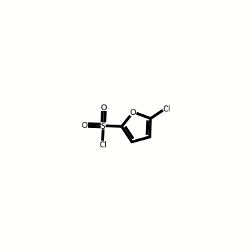 O=S(=O)(Cl)c1ccc(Cl)o1